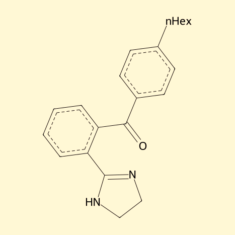 CCCCCCc1ccc(C(=O)c2ccccc2C2=NCCN2)cc1